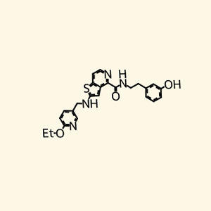 CCOc1ccc(CNc2cc3c(C(=O)NCCc4cccc(O)c4)nccc3s2)cn1